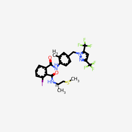 CSC[C@H](C)NC(=O)c1c(I)cccc1C(=O)Nc1ccc(Cn2nc(C(F)(F)F)cc2C(F)(F)F)cc1C